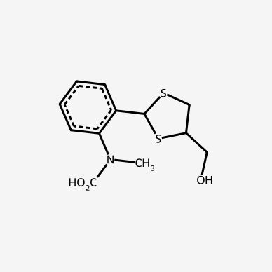 CN(C(=O)O)c1ccccc1C1SCC(CO)S1